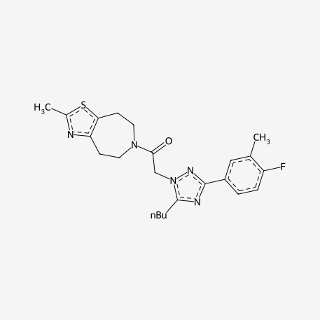 CCCCc1nc(-c2ccc(F)c(C)c2)nn1CC(=O)N1CCc2nc(C)sc2CC1